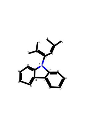 CC(C)=CC(=C(C)C)n1c2ccccc2c2ccccc21